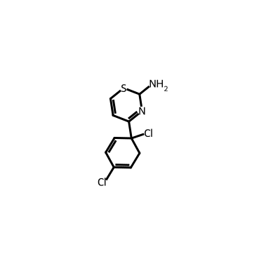 NC1N=C(C2(Cl)C=CC(Cl)=CC2)C=CS1